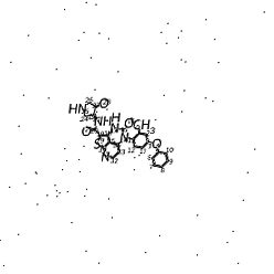 Cc1cc(Oc2ccccc2)ccc1N1C(=O)Nc2c(C(=O)N[C@H]3CNCC3=O)sc3nccc1c23